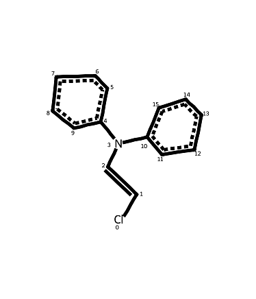 ClC=CN(c1ccccc1)c1ccccc1